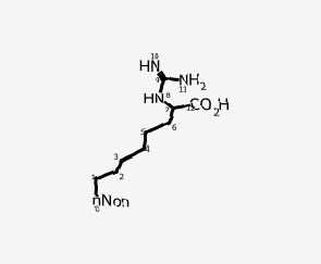 CCCCCCCCCCCCCCCC(NC(=N)N)C(=O)O